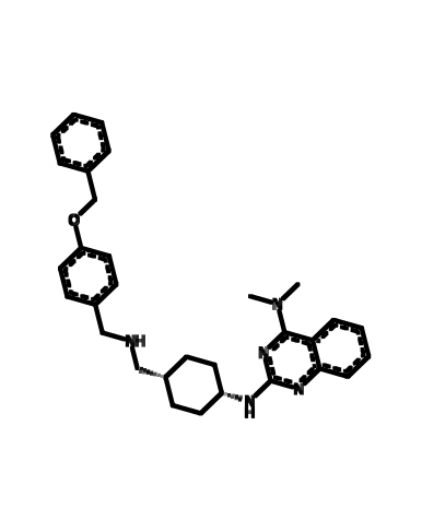 CN(C)c1nc(N[C@H]2CC[C@@H](CNCc3ccc(OCc4ccccc4)cc3)CC2)nc2ccccc12